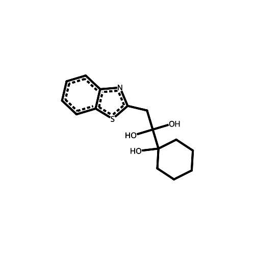 OC(O)(Cc1nc2ccccc2s1)C1(O)CCCCC1